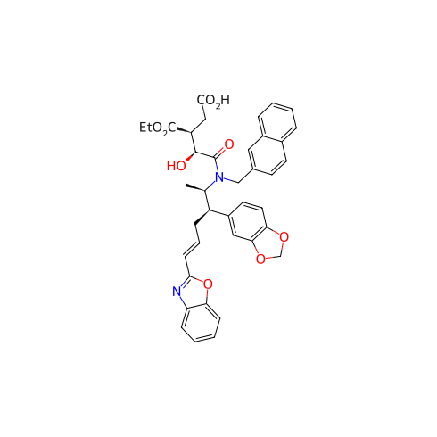 CCOC(=O)[C@@H](CC(=O)O)[C@H](O)C(=O)N(Cc1ccc2ccccc2c1)[C@H](C)[C@H](C/C=C/c1nc2ccccc2o1)c1ccc2c(c1)OCO2